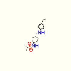 CCc1ccc(NC[C@H]2CC[C@H](NS(=O)(=O)C(C)C)CC2)cc1